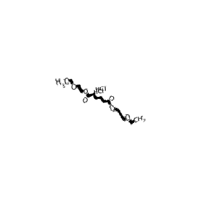 CCOCCOC(=O)CCCCC(=O)OCCOCC.Cl.Cl